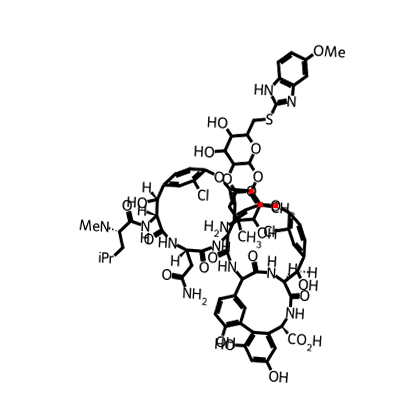 CN[C@@H](CC(C)C)C(=O)N[C@H]1C(=O)N[C@@H](CC(N)=O)C(=O)NC2C(=O)NC3C(=O)N[C@H](C(=O)N[C@@H](C(=O)O)c4cc(O)cc(O)c4-c4cc3ccc4O)[C@H](O)c3ccc(c(Cl)c3)Oc3cc2cc(c3OC2OC(CSc3nc4cc(OC)ccc4[nH]3)C(O)C(O)C2OC2CC(C)(N)C(O)C(C)O2)Oc2ccc(cc2Cl)[C@H]1O